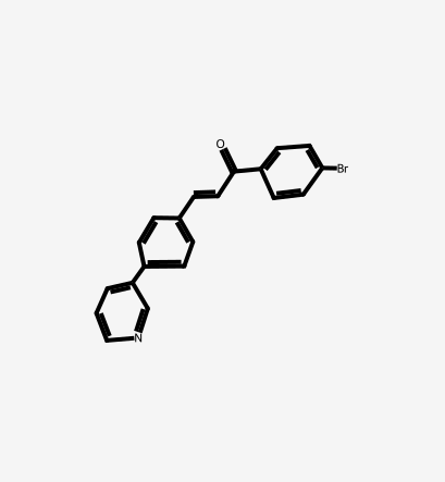 O=C(/C=C/c1ccc(-c2cccnc2)cc1)c1ccc(Br)cc1